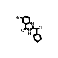 O=c1[nH]c(C(Cl)c2ccccc2)nc2ccc(Br)cc12